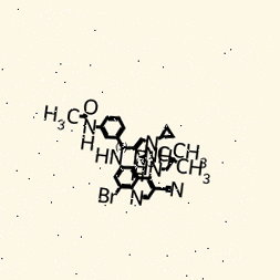 CC(=O)Nc1cccc([C@H](Nc2cc(Br)c3ncc(C#N)c(NCC(C)(C)C)c3c2)C2=CN(C3CC3)NN2)c1